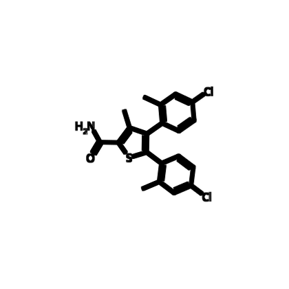 Cc1cc(Cl)ccc1-c1sc(C(N)=O)c(C)c1-c1ccc(Cl)cc1C